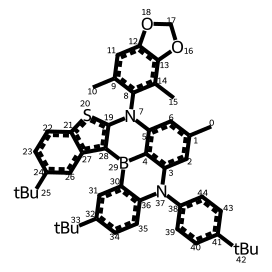 Cc1cc2c3c(c1)N(c1c(C)cc4c(c1C)OCO4)c1sc4ccc(C(C)(C)C)cc4c1B3c1cc(C(C)(C)C)ccc1N2c1ccc(C(C)(C)C)cc1